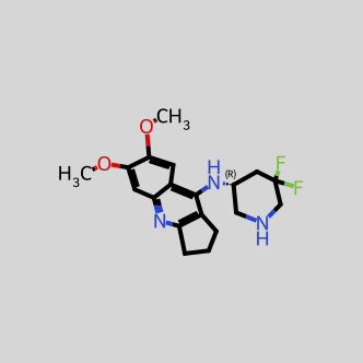 COc1cc2nc3c(c(N[C@H]4CNCC(F)(F)C4)c2cc1OC)CCC3